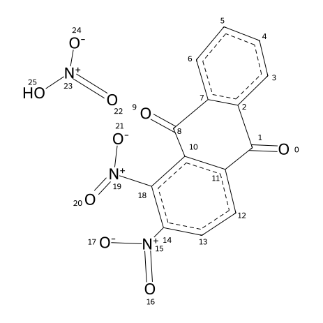 O=C1c2ccccc2C(=O)c2c1ccc([N+](=O)[O-])c2[N+](=O)[O-].O=[N+]([O-])O